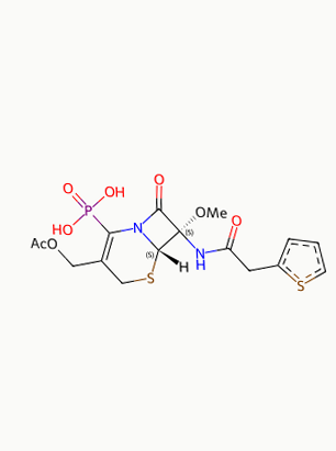 CO[C@@]1(NC(=O)Cc2cccs2)C(=O)N2C(P(=O)(O)O)=C(COC(C)=O)CS[C@H]21